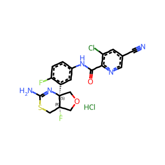 Cl.N#Cc1cnc(C(=O)Nc2ccc(F)c([C@]34COC[C@@]3(F)CSC(N)=N4)c2)c(Cl)c1